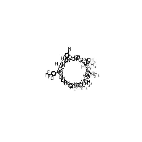 CC[C@H](C)[C@@H]1NC(=O)[C@H](CC(C)C)N(C)C(=O)C[C@@H](C)N(C)C(=O)[C@H](C(C)C)N(C)C(=O)C2(CCCC2)NC(=O)[C@@H]2CCCN2C(=O)[C@H](CCc2ccc(C(F)(F)F)c(Cl)c2)NC(=O)CN(C)C(=O)[C@H](Cc2ccc(C#N)cc2)N(C)C(=O)CN(C)C(=O)CN(C)C1=O